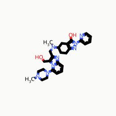 CN1CCN(c2cccc3nc(CN(C)C4CCc5nn(-c6ccccn6)c(O)c5C4)c(CO)n23)CC1